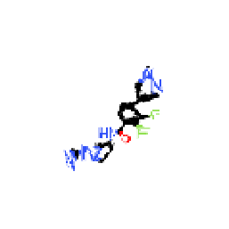 Cn1cc(-c2ccc(C(=O)N[C@@H]3CCN(C#N)C3)c(F)c2F)cn1